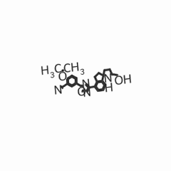 CC(C)Oc1ccc(-c2nc(-c3cccc4c3CCC43CCC(CO)N3)no2)cc1C#N